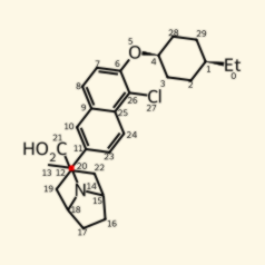 CC[C@H]1CC[C@@H](Oc2ccc3cc(C(C)N4C5CCC4CC(C(=O)O)C5)ccc3c2Cl)CC1